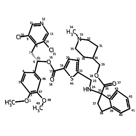 COc1ccc([C@H](Cc2c(Cl)cncc2Cl)OC(=O)c2ccc(CNC3(C(=O)OCC4CCN(C)CC4)CCc4ccccc43)s2)cc1OC